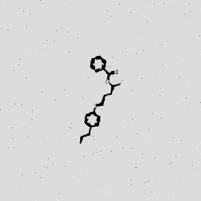 CCCc1ccc(N=CCCC(C)OC(=O)c2ccccc2)cc1